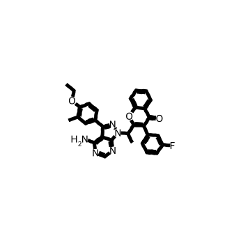 CCOc1ccc(-c2nn(C(C)c3oc4ccccc4c(=O)c3-c3cccc(F)c3)c3ncnc(N)c23)cc1C